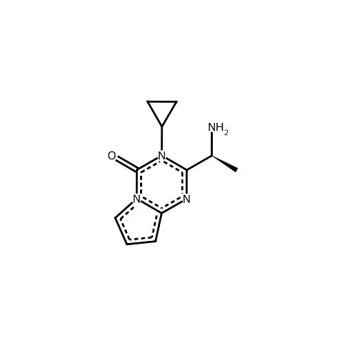 C[C@H](N)c1nc2cccn2c(=O)n1C1CC1